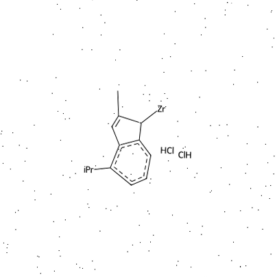 CC1=Cc2c(C(C)C)cccc2[CH]1[Zr].Cl.Cl